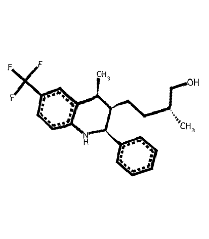 C[C@@H](CO)CC[C@@H]1[C@H](C)c2cc(C(F)(F)F)ccc2N[C@@H]1c1ccccc1